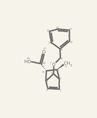 C[C@H]1C2C=CC(C2OCc2ccccc2)[C@@H]1C(=O)O